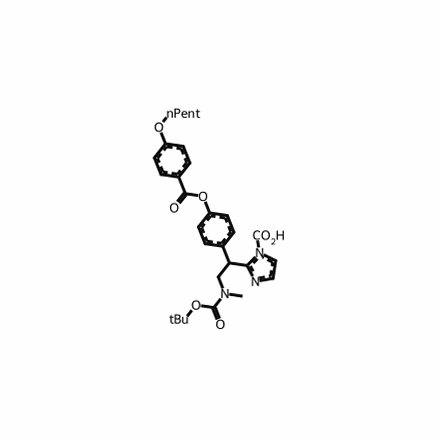 CCCCCOc1ccc(C(=O)Oc2ccc(C(CN(C)C(=O)OC(C)(C)C)c3nccn3C(=O)O)cc2)cc1